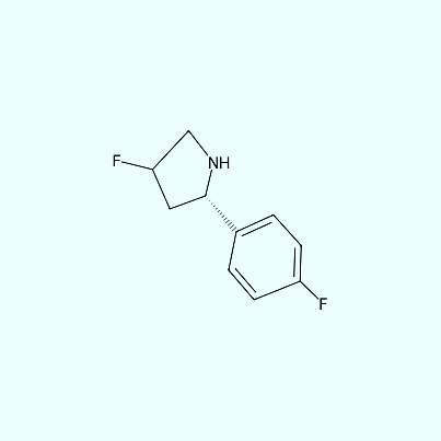 Fc1ccc([C@@H]2CC(F)CN2)cc1